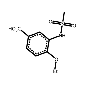 CCOc1ccc(C(=O)O)cc1NS(C)(=O)=O